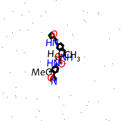 COc1cc(NC(=O)C(=O)NC(C)(C)Cc2ccc(NCc3ccco3)cc2)ccc1-c1cnco1